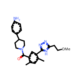 COCCc1nnc(-c2cc(C(=O)N3CCC(c4ccc(N)cc4)CC3)c(C)cc2C)[nH]1